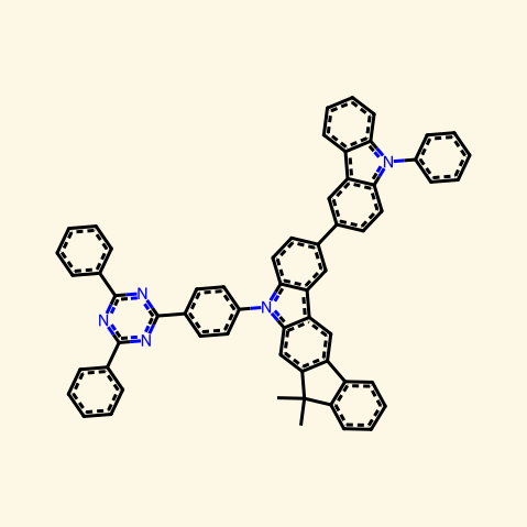 CC1(C)c2ccccc2-c2cc3c4cc(-c5ccc6c(c5)c5ccccc5n6-c5ccccc5)ccc4n(-c4ccc(-c5nc(-c6ccccc6)nc(-c6ccccc6)n5)cc4)c3cc21